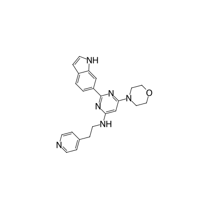 c1cc(CCNc2cc(N3CCOCC3)nc(-c3ccc4cc[nH]c4c3)n2)ccn1